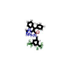 O=C(NCc1cc(C(F)(F)F)cc(C(F)(F)F)c1)c1c(-c2ccccc2)c2ccccc2n2cnnc12